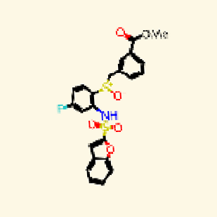 COC(=O)c1cccc(C[S+]([O-])c2ccc(F)cc2NS(=O)(=O)c2cc3ccccc3o2)c1